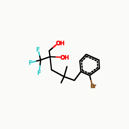 CC(C)(Cc1ccccc1Br)CC(O)(CO)C(F)(F)F